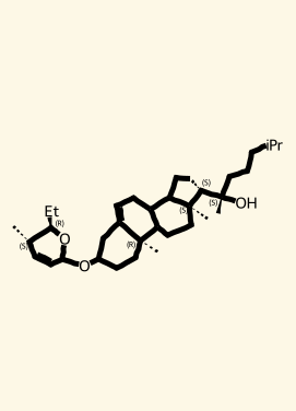 CC[C@H]1OC(OC2CC[C@@]3(C)C(=CCC4C3CC[C@@]3(C)C4CC[C@@H]3[C@@](C)(O)CCCC(C)C)C2)C=C[C@@H]1C